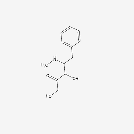 CNC(Cc1ccccc1)C(O)C(=O)CO